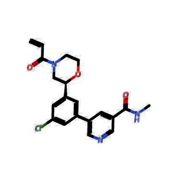 C=CC(=O)N1CCO[C@@H](c2cc(Cl)cc(-c3cncc(C(=O)NC)c3)c2)C1